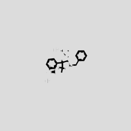 CC(C)(C)OC(=O)NC1(C)ON(Cc2ccccc2)CC1(O[Si](C)(C)C(C)(C)C)c1c[c]ccc1